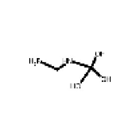 OC(O)(O)NCP